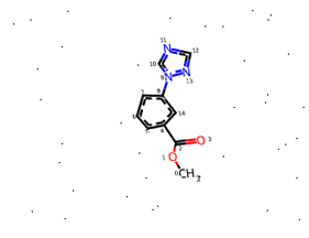 COC(=O)c1cccc(-n2cncn2)c1